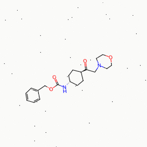 O=C(N[C@H]1CC[C@H](C(=O)CN2CCOCC2)CC1)OCc1ccccc1